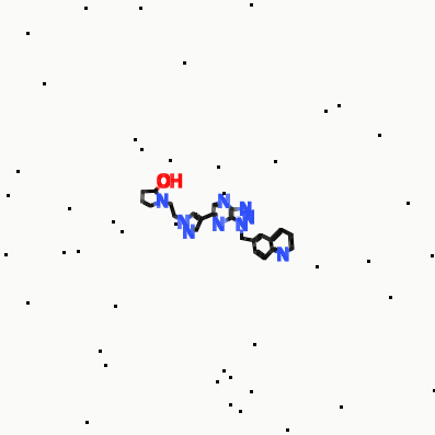 OC1CCCN1CCn1cc(-c2cnc3nnn(Cc4ccc5ncccc5c4)c3n2)cn1